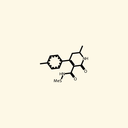 CSNC(=O)C1=C(c2ccc(C)cc2)CC(C)NC1=O